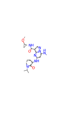 CNc1cc(Nc2cccn(C(C)C)c2=O)nc2c(C(=O)N[C@@H]3C[C@H]3OC)cnn12